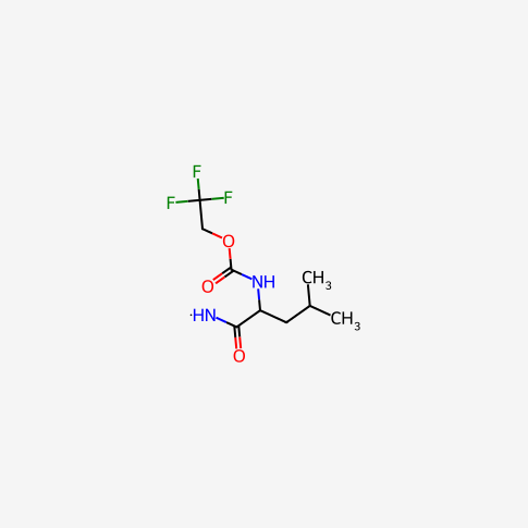 CC(C)CC(NC(=O)OCC(F)(F)F)C([NH])=O